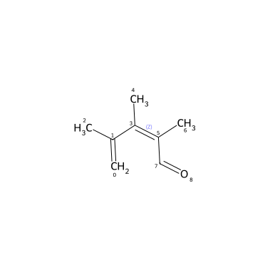 C=C(C)/C(C)=C(/C)C=O